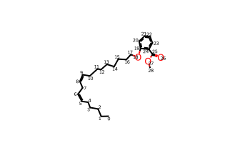 CCCCC/C=C\C/C=C\CCCCCCCCOc1ccccc1C(=O)OC